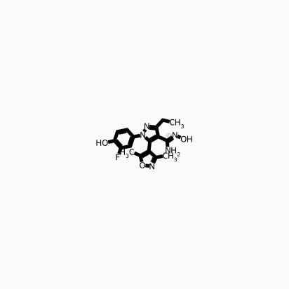 CCc1nn(-c2ccc(O)c(F)c2)c(-c2c(C)noc2C)c1/C(N)=N/O